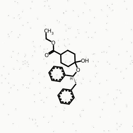 CCOC(=O)C1CCC(O)(O[C@H](Cc2ccccc2)c2ccccc2)CC1